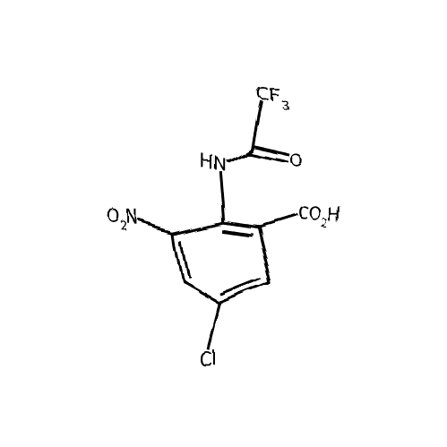 O=C(O)c1cc(Cl)cc([N+](=O)[O-])c1NC(=O)C(F)(F)F